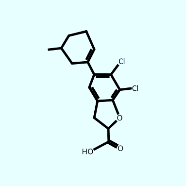 CC1CCC=C(c2cc3c(c(Cl)c2Cl)OC(C(=O)O)C3)C1